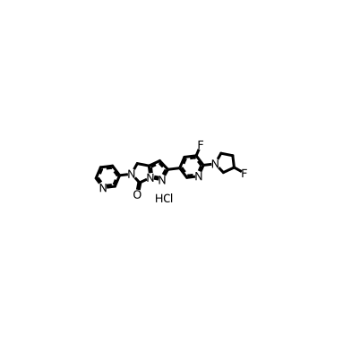 Cl.O=C1N(c2cccnc2)Cc2cc(-c3cnc(N4CCC(F)C4)c(F)c3)nn21